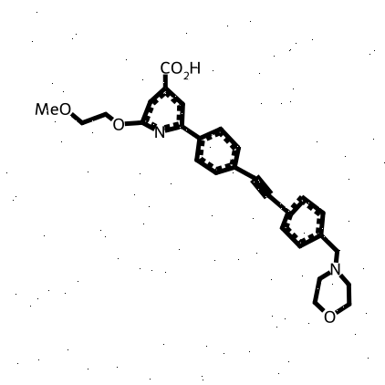 COCCOc1cc(C(=O)O)cc(-c2ccc(C#Cc3ccc(CN4CCOCC4)cc3)cc2)n1